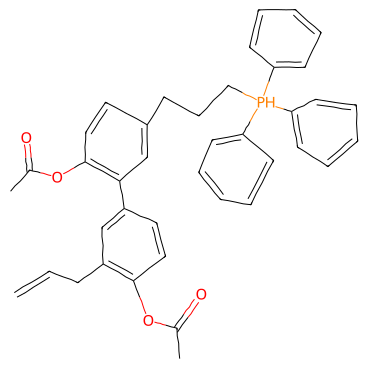 C=CCc1cc(-c2cc(CCC[PH](c3ccccc3)(c3ccccc3)c3ccccc3)ccc2OC(C)=O)ccc1OC(C)=O